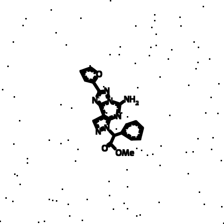 COC(=O)C(c1ccccc1)n1ncc2c1nc(N)n1nc(-c3ccco3)nc21